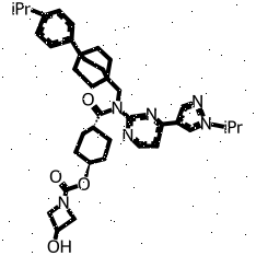 CC(C)c1ccc(C23CCC(CN(c4nccc(-c5cnn(C(C)C)c5)n4)C(=O)[C@H]4CC[C@H](OC(=O)N5CC(O)C5)CC4)(CC2)CC3)cc1